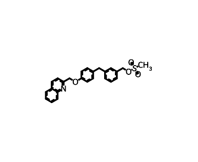 CS(=O)(=O)OCc1cccc(Cc2ccc(OCc3ccc4ccccc4n3)cc2)c1